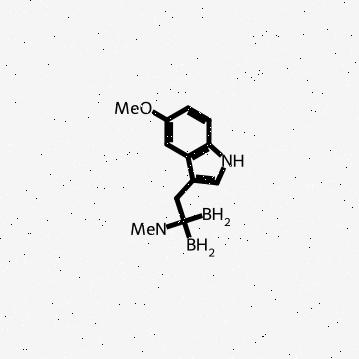 BC(B)(Cc1c[nH]c2ccc(OC)cc12)NC